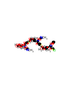 Cc1cc(C[C@H]2CN(C(=O)Oc3cnn(C)c3)C[C@@H]2C(=O)c2ccc(SCOC(=O)C(C)(C)Oc3c(C)cc(C[C@@H]4CN(C(=O)Oc5cnn(C)c5)C[C@H]4C(=O)c4ccc(SCOC(=O)C(C)(C)Oc5c(C)cc(CC[C@@H]6CN(C(=O)Oc7ccccc7)C[C@H]6C(=O)c6ccc(Cl)s6)cc5C)cc4)cc3C)cc2)cc(C)c1OC(C)(C)C(=O)O